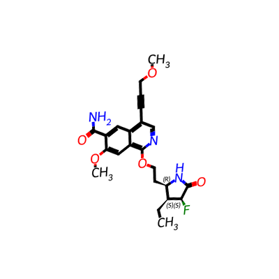 CC[C@@H]1[C@H](F)C(=O)N[C@@H]1CCOc1ncc(C#CCOC)c2cc(C(N)=O)c(OC)cc12